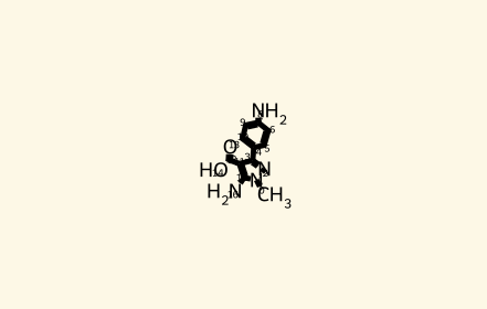 Cn1nc(-c2ccc(N)cc2)c(C(=O)O)c1N